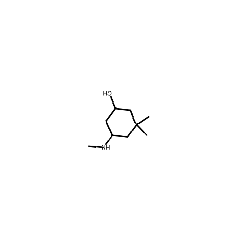 CNC1CC(O)CC(C)(C)C1